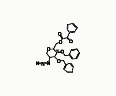 [N-]=[N+]=NC1COC(COC(=O)C(=O)c2ccccc2)[C@@H](OCc2ccccc2)C1OCc1ccccc1